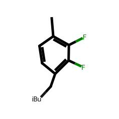 CCC(C)Cc1ccc(C)c(F)c1F